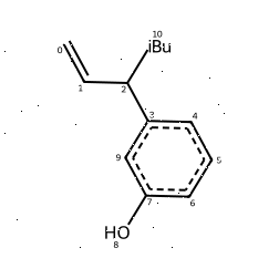 C=CC(c1cccc(O)c1)C(C)CC